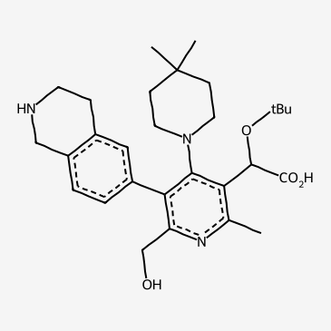 Cc1nc(CO)c(-c2ccc3c(c2)CCNC3)c(N2CCC(C)(C)CC2)c1C(OC(C)(C)C)C(=O)O